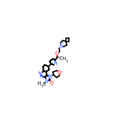 C[C@@H](OCCN1CCC2(CCC2)CC1)c1ccc(-c2ccc3nnc4c(c3c2)n(C2CCOCC2)c(=O)n4C)cn1